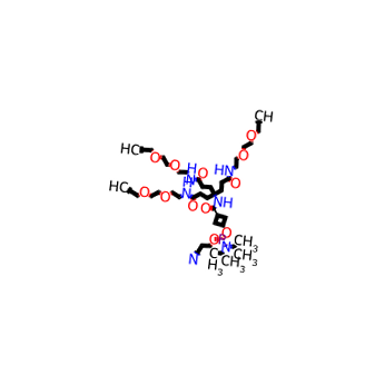 C#CCOCCOCCNC(=O)CCC(CCC(=O)NCCOCCOCC#C)(CCC(=O)NCCOCCOCC#C)NC(=O)[C@H]1C[C@H](OP(OCCC#N)N(C(C)C)C(C)C)C1